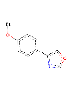 CCOc1ccc(-c2co[c]n2)cc1